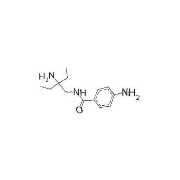 CCC(N)(CC)CNC(=O)c1ccc(N)cc1